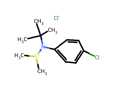 C[S+](C)N(c1ccc(Cl)cc1)C(C)(C)C.[Cl-]